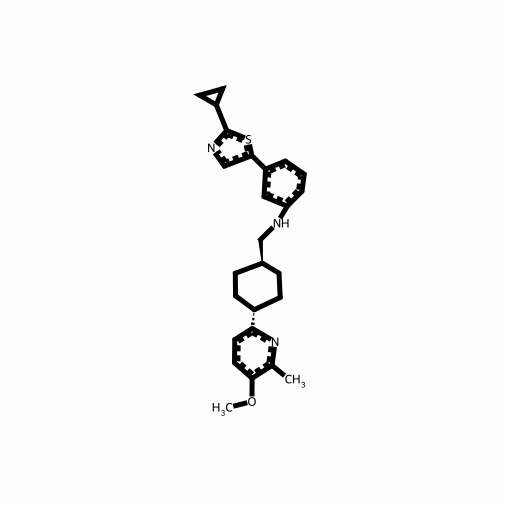 COc1ccc([C@H]2CC[C@H](CNc3cccc(-c4cnc(C5CC5)s4)c3)CC2)nc1C